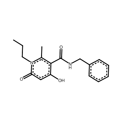 CCCn1c(C)c(C(=O)NCc2ccccc2)c(O)cc1=O